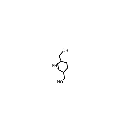 OCC1CCC(CO)CC1.P